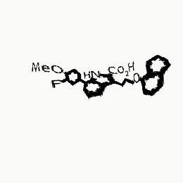 COc1ccc(-c2cccc3c(CCCOc4cccc5ccccc45)c(C(=O)O)[nH]c23)cc1F